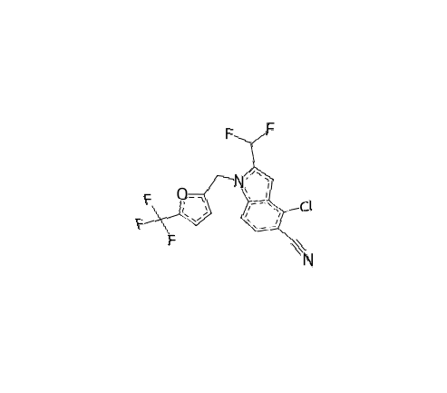 N#Cc1ccc2c(cc(C(F)F)n2Cc2ccc(C(F)(F)F)o2)c1Cl